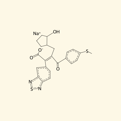 CSc1ccc(C(=O)C(CC2CCCC2O)=C(C(=O)[O-])c2ccc3nsnc3c2)cc1.[Na+]